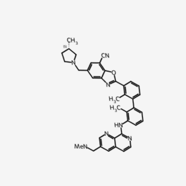 CNCc1cnc2c(Nc3cccc(-c4cccc(-c5nc6cc(CN7CC[C@H](C)C7)cc(C#N)c6o5)c4C)c3C)nccc2c1